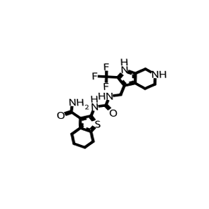 NC(=O)c1c(NC(=O)NCc2c(C(F)(F)F)[nH]c3c2CCNC3)sc2c1CCCC2